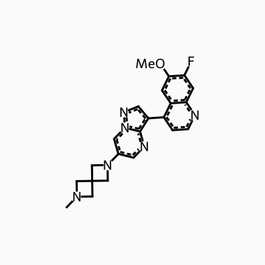 COc1cc2c(-c3cnn4cc(N5CC6(CN(C)C6)C5)cnc34)ccnc2cc1F